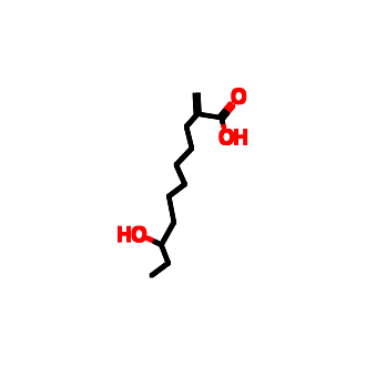 C=C(CCCCCCC(O)CC)C(=O)O